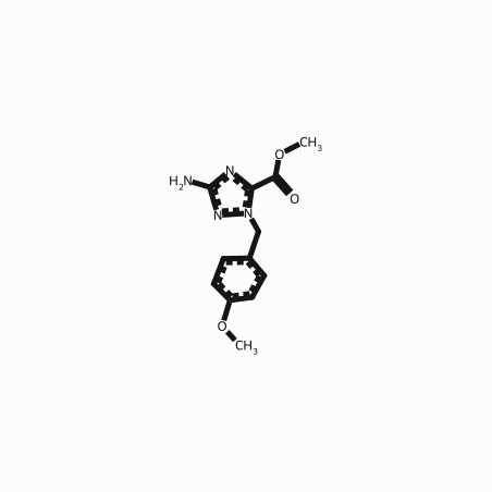 COC(=O)c1nc(N)nn1Cc1ccc(OC)cc1